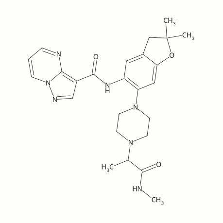 CNC(=O)C(C)N1CCN(c2cc3c(cc2NC(=O)c2cnn4cccnc24)CC(C)(C)O3)CC1